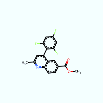 COC(=O)c1ccc2nc(C)cc(-c3c(F)cc(F)cc3F)c2c1